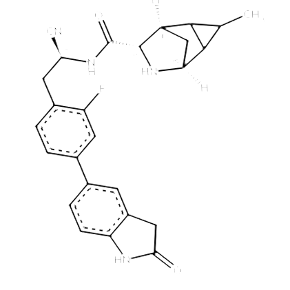 CC1C2C1[C@H]1C[C@@H]2N[C@@H]1C(=O)N[C@H](C#N)Cc1ccc(-c2ccc3c(c2)CC(=O)N3)cc1F